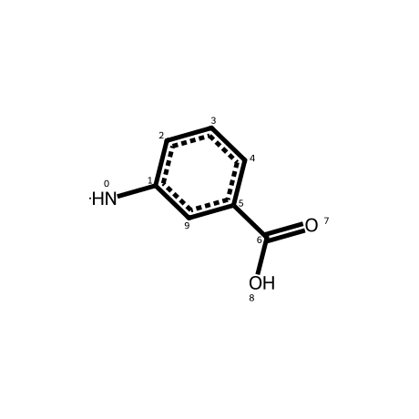 [NH]c1cccc(C(=O)O)c1